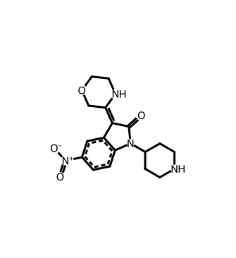 O=C1/C(=C2/COCCN2)c2cc([N+](=O)[O-])ccc2N1C1CCNCC1